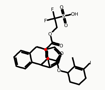 CC1=C(I)CCCC1OC(=O)C1C(C(=O)OCC(F)(F)S(=O)(=O)O)C2c3ccccc3C13c1cccc2c13